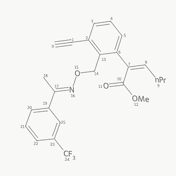 C#Cc1cccc(/C(=C/CCC)C(=O)OC)c1CO/N=C(\C)c1cccc(C(F)(F)F)c1